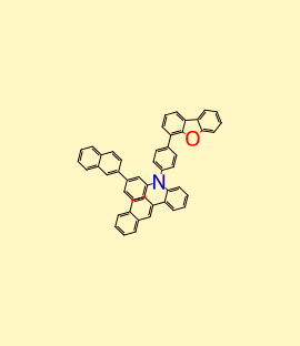 c1cc(-c2ccc3ccccc3c2)cc(N(c2ccc(-c3cccc4c3oc3ccccc34)cc2)c2ccccc2-c2ccc3ccccc3c2)c1